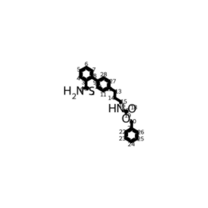 NC(=S)c1ccccc1-c1ccc(CCCNC(=O)OCc2ccccc2)cc1